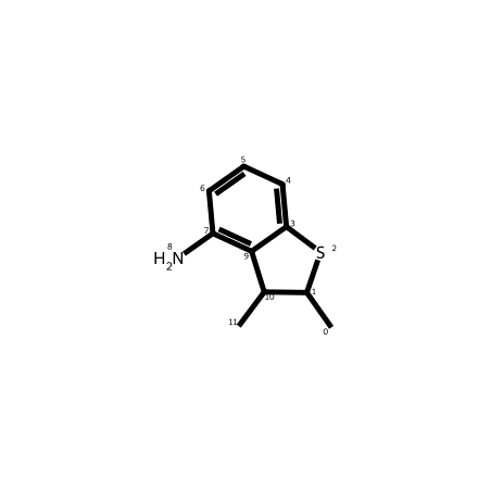 CC1Sc2cccc(N)c2C1C